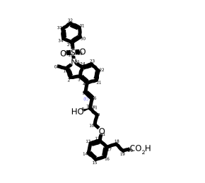 Cc1cc2c(/C=C/[C@H](O)CCOc3ccccc3CCC(=O)O)cccc2n1S(=O)(=O)c1ccccc1